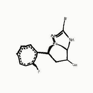 OC1CC(c2ccccc2F)N2N=C(Br)NC12